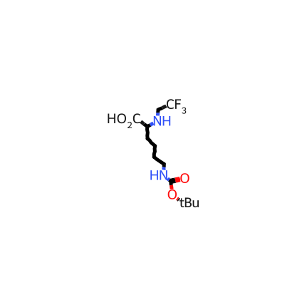 CC(C)(C)OC(=O)NCCCCC(NCC(F)(F)F)C(=O)O